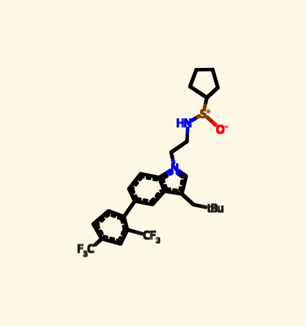 CC(C)(C)Cc1cn(CCN[S+]([O-])C2CCCC2)c2ccc(-c3ccc(C(F)(F)F)cc3C(F)(F)F)cc12